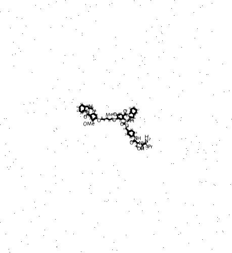 COc1cc2c(cc1OCCCCCOc1cc3c(cc1OC)C(=O)N1c4ccccc4C[C@H]1CN3C(=O)OCc1ccc(NC(=O)[C@H](CO)NC(=O)[C@@H](N)C(C)C)cc1)N=C[C@@H]1Cc3ccccc3N1C2=O